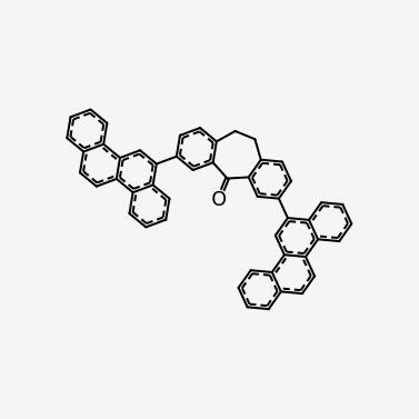 O=C1c2cc(-c3cc4c5ccccc5ccc4c4ccccc34)ccc2CCc2ccc(-c3cc4c5ccccc5ccc4c4ccccc34)cc21